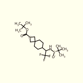 CC(C)(C)OC(=O)N1CC2(CCC(C(N[S+]([O-])C(C)(C)C)C(F)(F)F)CC2)C1